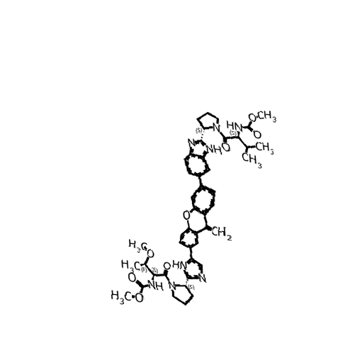 C=C1c2ccc(-c3ccc4nc([C@@H]5CCCN5C(=O)[C@@H](NC(=O)OC)C(C)C)[nH]c4c3)cc2Oc2ccc(-c3cnc([C@@H]4CCCN4C(=O)[C@@H](NC(=O)OC)[C@@H](C)OC)[nH]3)cc21